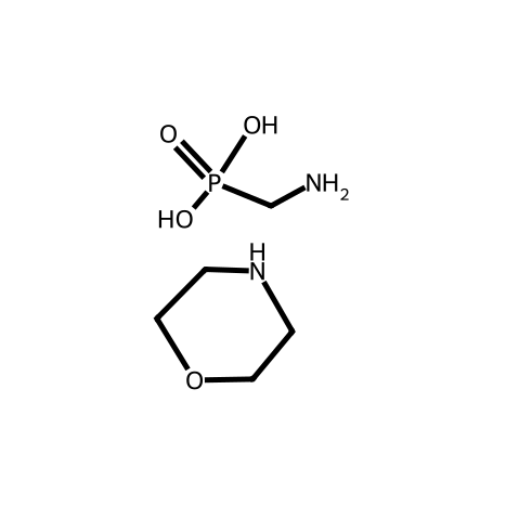 C1COCCN1.NCP(=O)(O)O